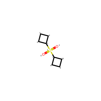 O=S(=O)(C1CCC1)C1CCC1